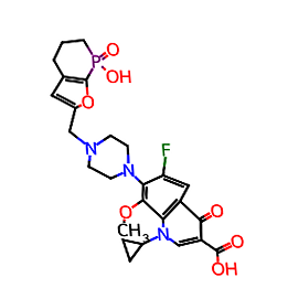 COc1c(N2CCN(Cc3cc4c(o3)P(=O)(O)CCC4)CC2)c(F)cc2c(=O)c(C(=O)O)cn(C3CC3)c12